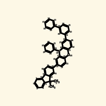 CC1(C)c2ccccc2-c2ccc(-c3ccc4c(c3)N(c3ccccc3)c3cc(-c5cccc(-c6ccccc6)c5)ccc3O4)cc21